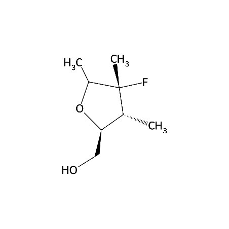 CC1O[C@H](CO)[C@@H](C)[C@@]1(C)F